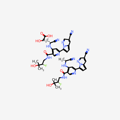 C[C@H](C#N)Nc1cc(-c2ccc3cc(C#N)cnn23)ncc1C(=O)NC[C@@H](F)C(C)(C)O.C[C@H](C#N)Nc1cc(-c2ccc3cc(C#N)cnn23)ncc1C(=O)NC[C@@H](F)C(C)(C)O.O=C(O)CO